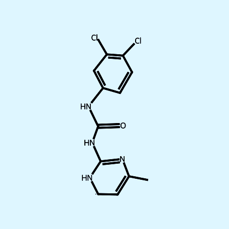 CC1=C[CH]NC(NC(=O)Nc2ccc(Cl)c(Cl)c2)=N1